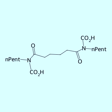 CCCCCN(C(=O)O)C(=O)CCCCC(=O)N(CCCCC)C(=O)O